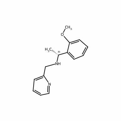 COc1ccccc1[C@@H](C)NCc1ccccn1